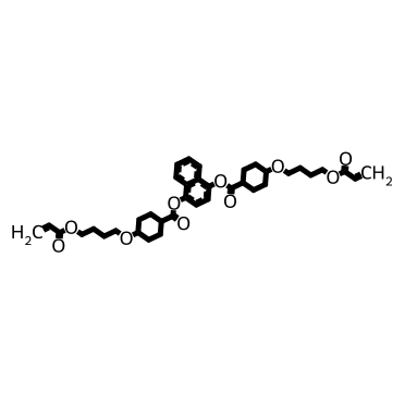 C=CC(=O)OCCCCOC1CCC(C(=O)Oc2ccc(OC(=O)C3CCC(OCCCCOC(=O)C=C)CC3)c3ccccc23)CC1